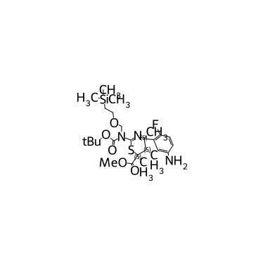 COC(=O)[C@@]1(C)SC(N(COCC[Si](C)(C)C)C(=O)OC(C)(C)C)=N[C@](C)(c2cc(N)ccc2F)[C@@H]1C